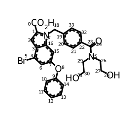 O=C(O)c1cc2c(Br)cc(Oc3ccccc3)cc2n1Cc1ccc(C(=O)N(CCO)CCO)cc1